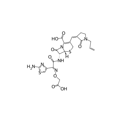 C=CCN1CCC(=CC2=C(C(=O)O)N3C(=O)[C@@H](NC(=O)C(=NOCC(=O)O)c4csc(N)n4)[C@H]3SC2)C1=O